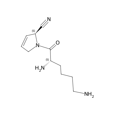 N#C[C@@H]1C=CCN1C(=O)[C@@H](N)CCCCN